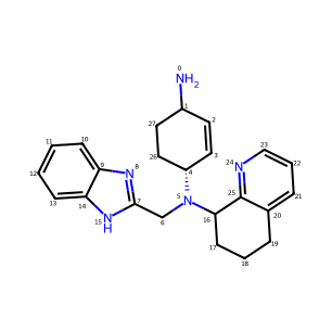 NC1C=C[C@H](N(Cc2nc3ccccc3[nH]2)C2CCCc3cccnc32)CC1